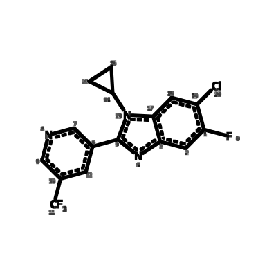 Fc1cc2nc(-c3cncc(C(F)(F)F)c3)n(C3CC3)c2cc1Cl